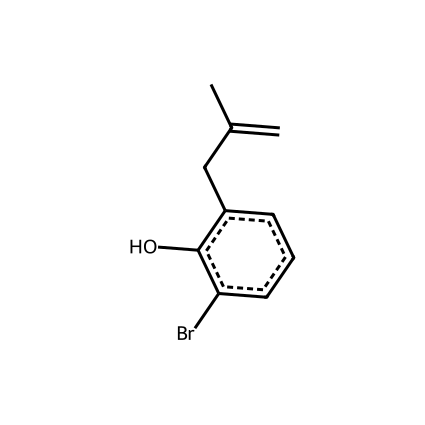 C=C(C)Cc1cccc(Br)c1O